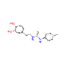 Cc1ccc(NC(=S)NCCc2ccc(O)c(O)c2)cc1